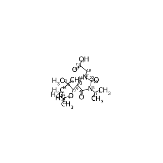 CC(C)n1c(=O)c(C(O[SiH](C)C)C(C)(C)C)cn(CC(=O)O)c1=O